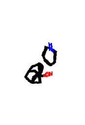 C1=CC=CNC=C1.OC12CC3CC(CC(C3)C1)C2